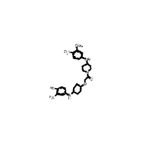 COc1cc(NC2CCN(C(=O)COC3CCC(Nc4ccc(C#N)c(C(F)(F)F)c4)CC3)CC2)ccc1[N+](=O)[O-]